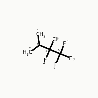 CC(C)C(F)(Cl)C(F)(F)F